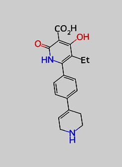 CCc1c(-c2ccc(C3=CCNCC3)cc2)[nH]c(=O)c(C(=O)O)c1O